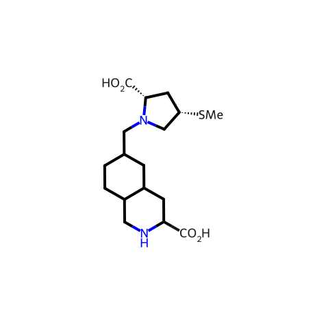 CS[C@H]1C[C@@H](C(=O)O)N(CC2CCC3CNC(C(=O)O)CC3C2)C1